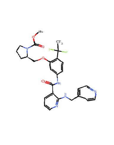 CC(C)(C)OC(=O)N1CCC[C@@H]1COc1cc(NC(=O)c2cccnc2NCc2ccncc2)ccc1C(F)(F)C(F)(F)F